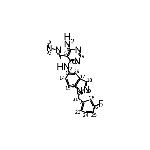 CN(C)N=Cc1c(N)ncnc1Nc1ccc2c(cnn2Cc2cccc(F)c2)c1